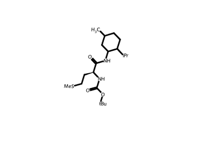 CSCC[C@H](NC(=O)OC(C)(C)C)C(=O)NC1CC(C)CCC1C(C)C